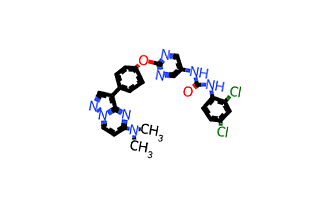 CN(C)c1ccn2ncc(-c3ccc(Oc4ncc(NC(=O)Nc5ccc(Cl)cc5Cl)cn4)cc3)c2n1